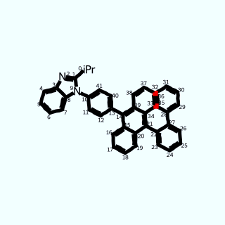 CC(C)c1nc2ccccc2n1-c1ccc(-c2c3ccccc3c(-c3ccccc3-c3ccccc3)c3ccccc23)cc1